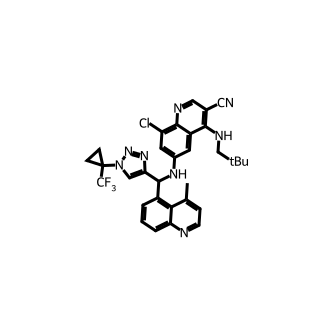 Cc1ccnc2cccc(C(Nc3cc(Cl)c4ncc(C#N)c(NCC(C)(C)C)c4c3)c3cn(C4(C(F)(F)F)CC4)nn3)c12